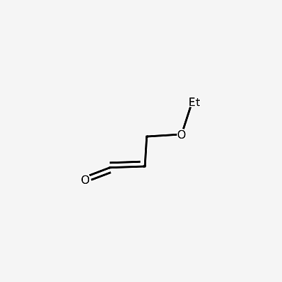 [CH2]COCC=C=O